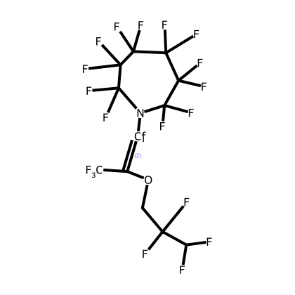 FC(F)C(F)(F)CO/[C](=[Cf]\[N]1C(F)(F)C(F)(F)C(F)(F)C(F)(F)C(F)(F)C1(F)F)C(F)(F)F